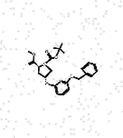 COC(=O)[C@@H]1C[C@@H](Oc2cccc(OCc3ccccc3)n2)CN1C(=O)OC(C)(C)C